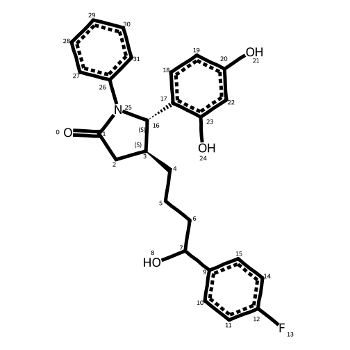 O=C1C[C@H](CCCC(O)c2ccc(F)cc2)[C@@H](c2ccc(O)cc2O)N1c1ccccc1